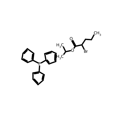 CCCC(Br)C(=O)OC(C)C.c1ccc(P(c2ccccc2)c2ccccc2)cc1